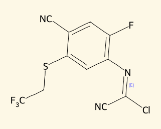 N#C/C(Cl)=N\c1cc(SCC(F)(F)F)c(C#N)cc1F